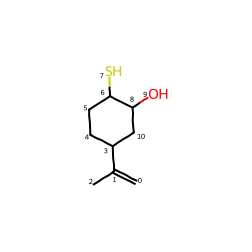 C=C(C)C1CCC(S)C(O)C1